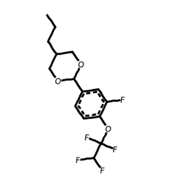 CCCC1COC(c2ccc(OC(F)(F)C(F)F)c(F)c2)OC1